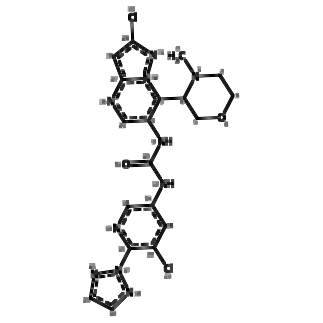 CN1CCOCC1c1c(NC(=O)Nc2cnc(-n3nccn3)c(Cl)c2)cnc2cc(Cl)nn12